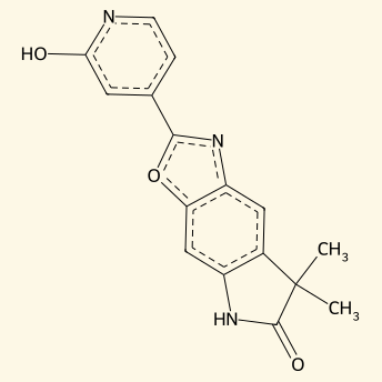 CC1(C)C(=O)Nc2cc3oc(-c4ccnc(O)c4)nc3cc21